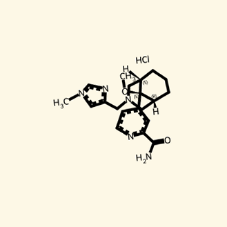 CO[C@]1(c2ccnc(C(N)=O)c2)[C@@H]2CCC[C@H]1CN(Cc1cn(C)cn1)C2.Cl